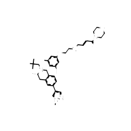 C[C@@H]1Cc2cc(-c3cnn(C)c3)ccc2[C@@H](c2c(F)cc(OCCNC/C=C/C(=O)N3CCOCC3)cc2F)N1CC(C)(C)F